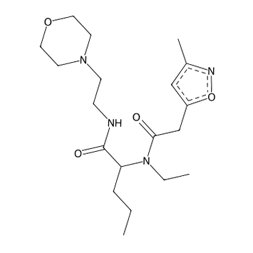 CCCC(C(=O)NCCN1CCOCC1)N(CC)C(=O)Cc1cc(C)no1